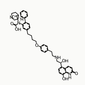 O=C(O)N(c1cc(CCCCOc2ccc(CCNC[C@@H](O)c3ccc(O)c4[nH]c(=O)ccc34)cc2)ccc1-c1ccccc1)[C@H]1CN2CCC1CC2